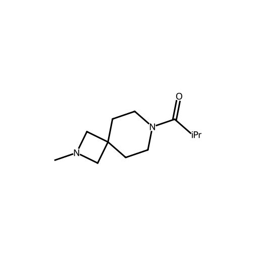 CC(C)C(=O)N1CCC2(CC1)CN(C)C2